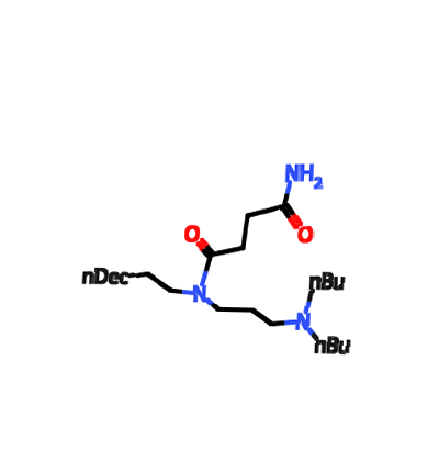 CCCCCCCCCCCCN(CCCN(CCCC)CCCC)C(=O)CCC(N)=O